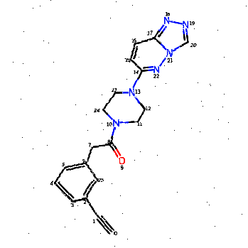 C#Cc1cccc(CC(=O)N2CCN(c3ccc4nncn4n3)CC2)c1